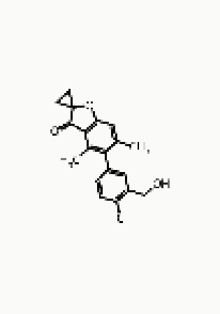 Cc1cc2c(c(C)c1-c1ccc(Cl)c(CO)c1)C(=O)C1(CC1)O2